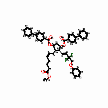 CC(C)OC(=O)CCC/C=C\C[C@@H]1[C@H](/C=C/C(F)(F)COc2ccccc2)[C@H](OC(=O)c2ccc(-c3ccccc3)cc2)C[C@@H]1OC(=O)c1ccc(-c2ccccc2)cc1